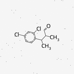 CC(C=O)C(C)c1ccc(Cl)cc1Cl